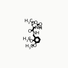 COC[C@H](NC(=O)O)C(=O)NCc1cccc(OC)c1OC